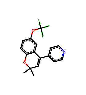 CC1(C)C=C(c2ccncc2)c2cc(OC(F)(F)F)ccc2O1